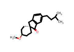 CO[C@H]1CC[C@]2(CC1)Cc1ccc(CCC(C)C)cc1C2=O